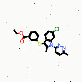 CCOC(=O)c1cccc(Sc2c(C)n(-c3ccc(C)nn3)c3cc(Cl)ccc23)c1